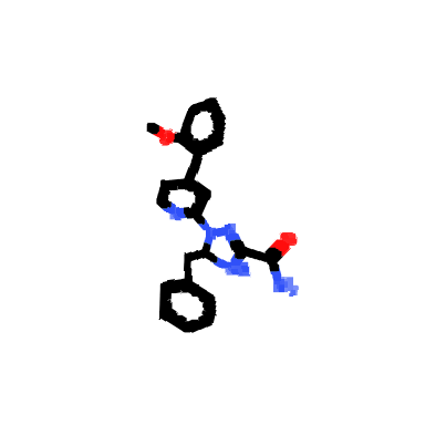 COc1ccccc1-c1ccnc(N2N=C(C(N)=O)NC2Cc2ccccc2)c1